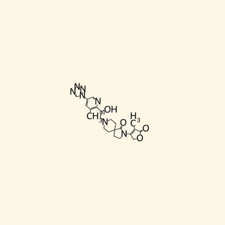 CC1=C(N2CCC3(CCN(C[C@H](O)c4ncc(-n5cnnn5)cc4C)CC3)C2=O)COC1=O